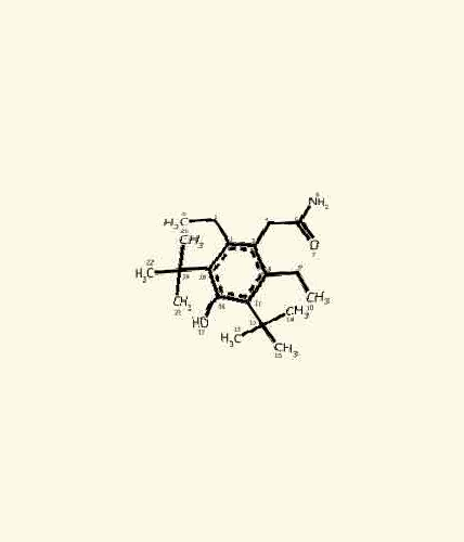 CCc1c(CC(N)=O)c(CC)c(C(C)(C)C)c(O)c1C(C)(C)C